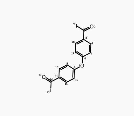 O=C(I)c1ccc(Oc2ccc(C(=O)I)cc2)cc1